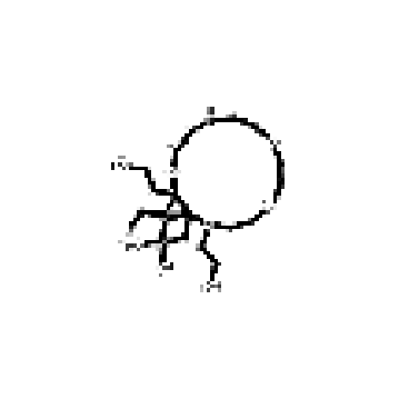 OCCN1CCNCCNCCNCCNC(CCO)(CCO)C1(CCO)CCO